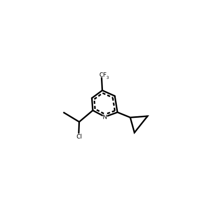 CC(Cl)c1cc(C(F)(F)F)cc(C2CC2)n1